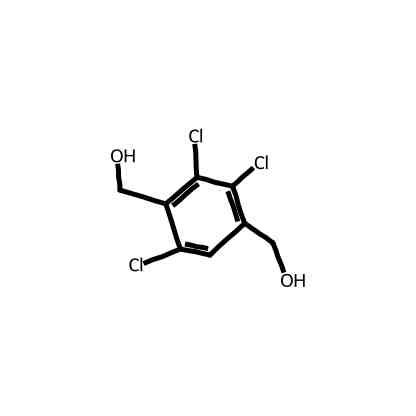 OCc1cc(Cl)c(CO)c(Cl)c1Cl